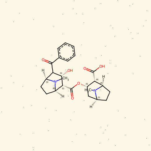 CN1[C@H]2CC[C@@H]1[C@@H](C(=O)O)[C@@H](OC(=O)[C@@H]1[C@H]3CC[C@@H](C(C(=O)c4ccccc4)[C@@H]1O)N3C)C2